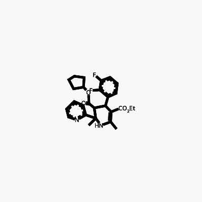 CCOC(=O)C1=C(C)NC(C)(c2ccccn2)C(C(=O)OC2CCCC2)C1c1cccc(F)c1F